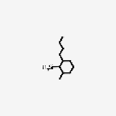 CCCCC1CCCC(C)C1[SiH3]